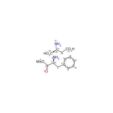 COC(=O)[C@@H](N)Cc1ccccc1.N[C@@H](CC(=O)O)C(=O)O